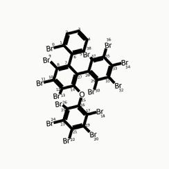 Brc1ccccc1-c1c(Br)c(Br)c(Br)c(Oc2c(Br)c(Br)c(Br)c(Br)c2Br)c1-c1c(Br)c(Br)c(Br)c(Br)c1Br